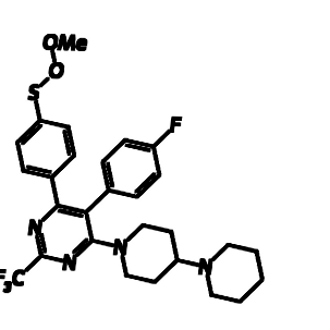 COOSc1ccc(-c2nc(C(F)(F)F)nc(N3CCC(N4CCCCC4)CC3)c2-c2ccc(F)cc2)cc1